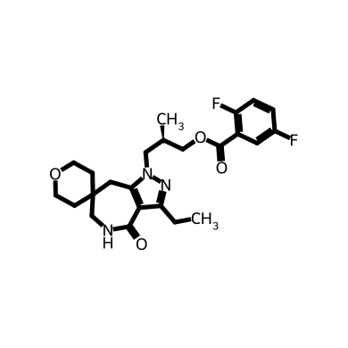 CCc1nn(C[C@@H](C)COC(=O)c2cc(F)ccc2F)c2c1C(=O)NCC1(CCOCC1)C2